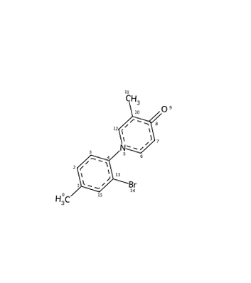 Cc1ccc(-n2ccc(=O)c(C)c2)c(Br)c1